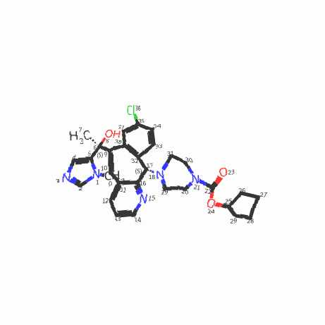 Cn1cncc1[C@@](C)(O)C1=Cc2cccnc2[C@@H](N2CCN(C(=O)OC3CCCC3)CC2)c2ccc(Cl)cc21